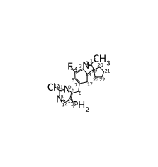 CC1=Nc2c(F)cc(Cc3nc(Cl)ncc3P)cc2C12CCCC2